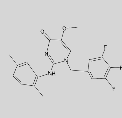 COc1cn(Cc2cc(F)c(F)c(F)c2)c(Nc2cc(C)ccc2C)nc1=O